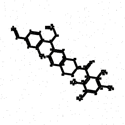 Cc1cc(C=N)ccc1C(CC(=O)O)c1ccc2c(c1)CN(C(=O)c1c(C)c(C)cc(C)c1C)CC2